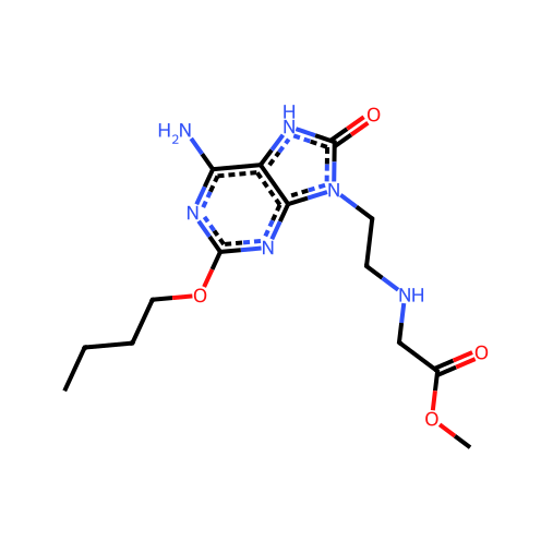 CCCCOc1nc(N)c2[nH]c(=O)n(CCNCC(=O)OC)c2n1